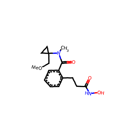 COCC1(N(C)C(=O)c2ccccc2CCC(=O)NO)CC1